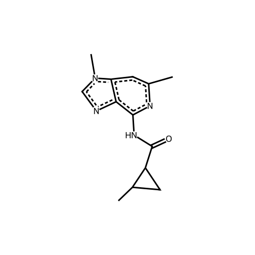 Cc1cc2c(ncn2C)c(NC(=O)C2CC2C)n1